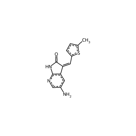 Cc1ccc(C=C2C(=O)Nc3ncc(N)cc32)s1